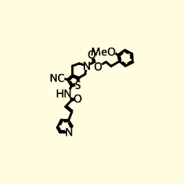 COc1ccccc1CCOC(=O)N1CCc2c(sc(NC(=O)/C=C/c3cccnc3)c2C#N)C1